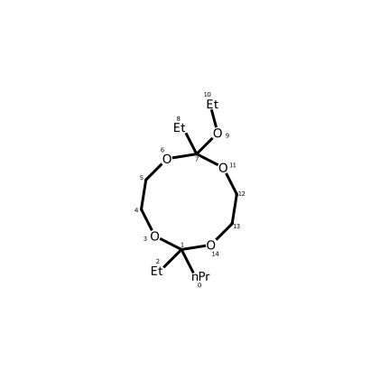 CCCC1(CC)OCCOC(CC)(OCC)OCCO1